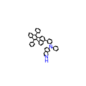 C1=Cc2ccc(N(c3ccccc3)c3cccc(-c4ccc5c6c(cccc46)-c4c-5c(-c5ccccc5)c5ccccc5c4-c4ccccc4)c3)cc2CN1